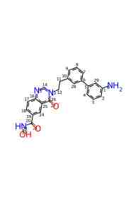 Nc1cccc(-c2cccc(CCn3cnc4ccc(C(=O)NO)cc4c3=O)c2)c1